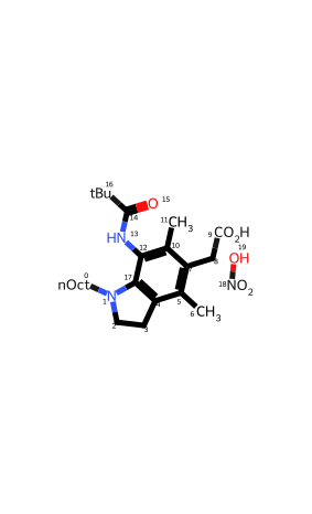 CCCCCCCCN1CCc2c(C)c(CC(=O)O)c(C)c(NC(=O)C(C)(C)C)c21.O=[N+]([O-])O